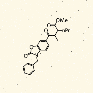 CCCC(C(=O)OC)C(C)C(=O)c1ccc2c(c1)oc(=O)n2Cc1ccccc1